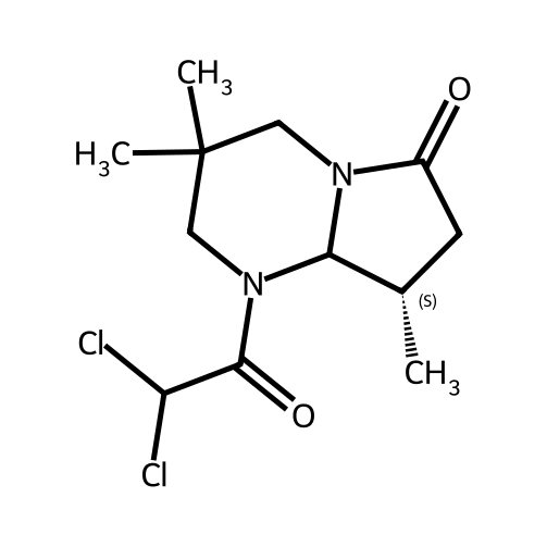 C[C@H]1CC(=O)N2CC(C)(C)CN(C(=O)C(Cl)Cl)C12